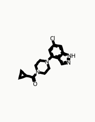 O=C(C1CC1)N1CCN(c2cc(Cl)cc3[nH]ncc23)CC1